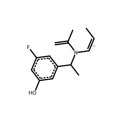 C=C(C)N(/C=C\C)C(C)c1cc(O)cc(F)c1